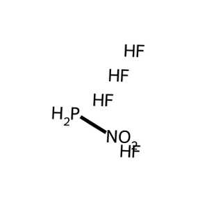 F.F.F.F.O=[N+]([O-])P